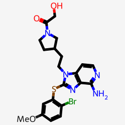 COc1ccc(Br)c(Sc2nc3c(N)nccc3n2CCC2CCN(C(=O)CO)C2)c1